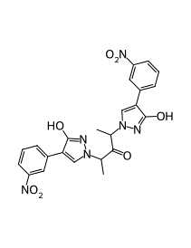 CC(C(=O)C(C)n1cc(-c2cccc([N+](=O)[O-])c2)c(O)n1)n1cc(-c2cccc([N+](=O)[O-])c2)c(O)n1